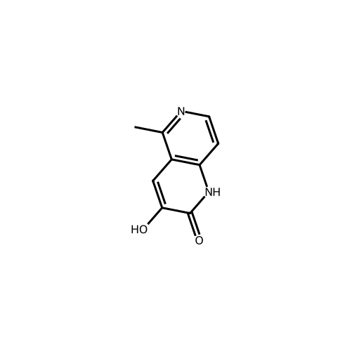 Cc1nccc2[nH]c(=O)c(O)cc12